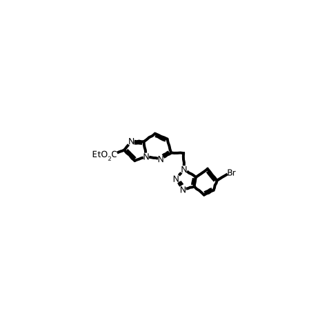 CCOC(=O)c1cn2nc(Cn3nnc4ccc(Br)cc43)ccc2n1